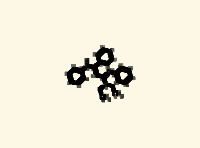 CCN(CC)C(N=C(Nc1ccccc1)c1ccccc1)=Nc1ccccc1